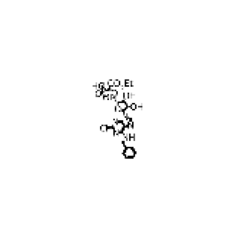 CCOC(=O)[C@@H](OC[C@H]1O[C@@H](n2cnc3c(NCc4ccccc4)nc(Cl)nc32)[C@H](O)[C@@H]1O)P(=O)(O)O